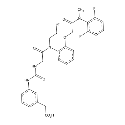 CC(C)CCN(C(=O)CNC(=O)Nc1cccc(CC(=O)O)c1)c1ccccc1OCC(=O)N(C)c1c(F)cccc1F